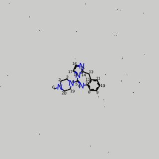 CN1CCN(C2=Nc3ccccc3Cc3nccn32)CC1